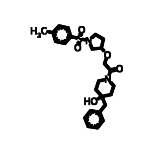 Cc1ccc(S(=O)(=O)N2CCC(OCC(=O)N3CCC(O)(Cc4ccccc4)CC3)C2)cc1